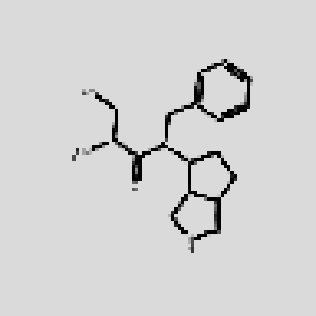 CC(C)C[C@H](NC(F)(F)F)C(=O)N(Cc1ccccc1)C1CCC2CNCC21